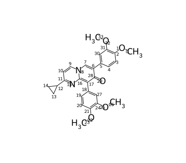 COc1ccc(-c2cn3ccc(C4CC4)nc3c(-c3ccc(OC)c(OC)c3)c2=O)cc1OC